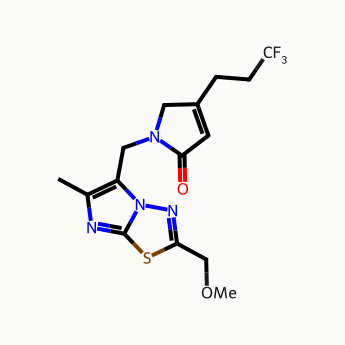 COCc1nn2c(CN3CC(CCC(F)(F)F)=CC3=O)c(C)nc2s1